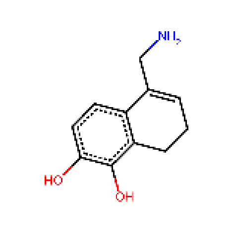 NCC1=CCCc2c1ccc(O)c2O